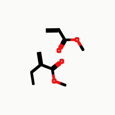 C=C(CC)C(=O)OC.C=CC(=O)OC